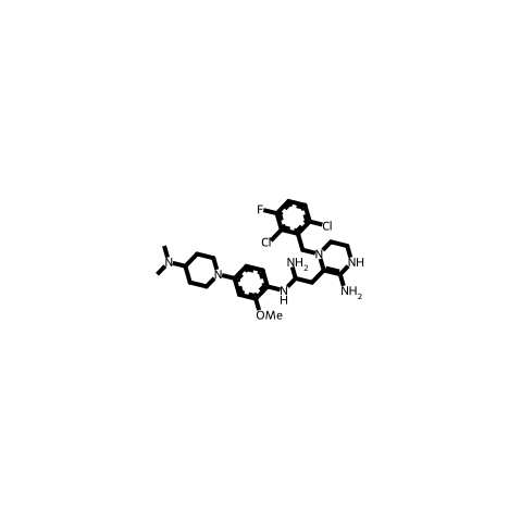 COc1cc(N2CCC(N(C)C)CC2)ccc1NC(N)CC1=C(N)NCCN1Cc1c(Cl)ccc(F)c1Cl